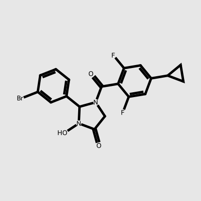 O=C1CN(C(=O)c2c(F)cc(C3CC3)cc2F)C(c2cccc(Br)c2)N1O